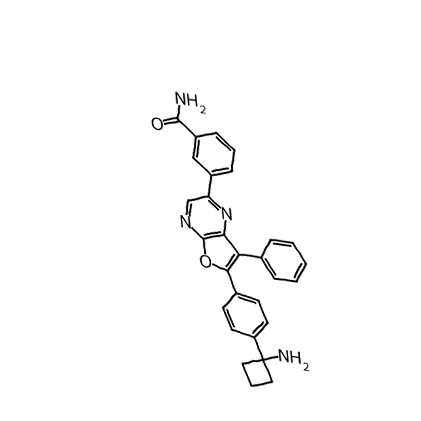 NC(=O)c1cccc(-c2cnc3oc(-c4ccc(C5(N)CCC5)cc4)c(-c4ccccc4)c3n2)c1